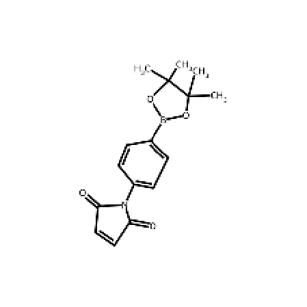 CC1(C)OB(c2ccc(N3C(=O)C=CC3=O)cc2)OC1(C)C